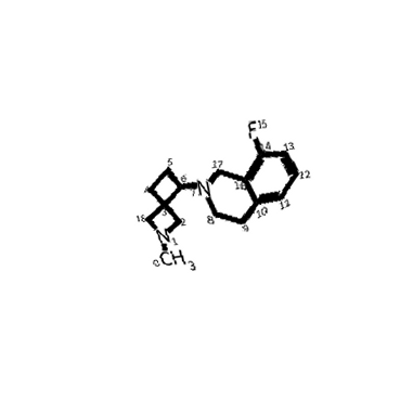 CN1CC2(CCC2N2CCc3cccc(F)c3C2)C1